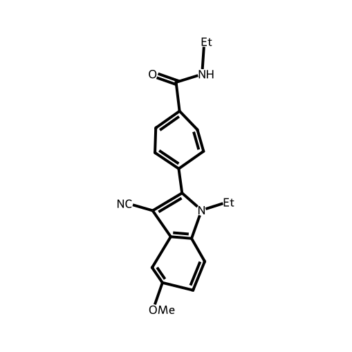 CCNC(=O)c1ccc(-c2c(C#N)c3cc(OC)ccc3n2CC)cc1